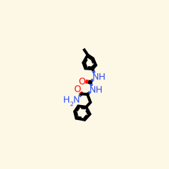 Cc1ccc(NC(=O)NC(Cc2ccccc2)C(N)=O)cc1